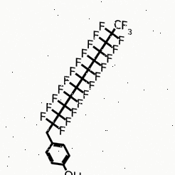 Oc1ccc(CC(F)(F)C(F)(F)C(F)(F)C(F)(F)C(F)(F)C(F)(F)C(F)(F)C(F)(F)C(F)(F)C(F)(F)C(F)(F)C(F)(F)F)cc1